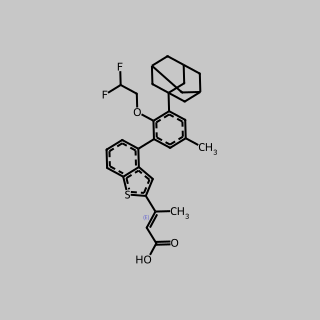 C/C(=C\C(=O)O)c1cc2c(-c3cc(C)cc(C45CC6CC(CC(C6)C4)C5)c3OCC(F)F)cccc2s1